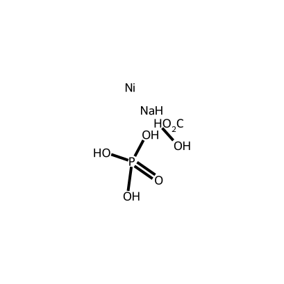 O=C(O)O.O=P(O)(O)O.[NaH].[Ni]